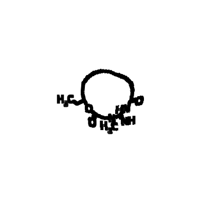 CCC1CCCCCCCCCCC(=O)NC(=N)N(C)CC(=O)O1